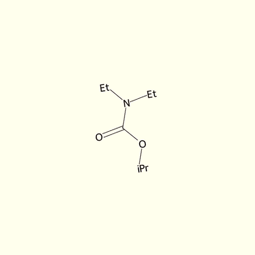 CCN(CC)C(=O)OC(C)C